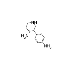 Nc1ccc(C2CNCCN2N)cc1